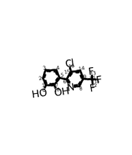 Oc1cccc(-c2ncc(C(F)(F)F)cc2Cl)c1O